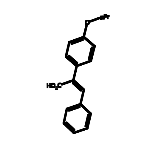 CCCOc1ccc(C(=Cc2ccccc2)C(=O)O)cc1